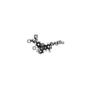 Cc1cc(OCCOC(C)(C)C)nc(C)c1CC(c1ccsc1[N+](=O)[O-])S(=O)(=O)Oc1ccc(N(CCCl)CCCl)cc1